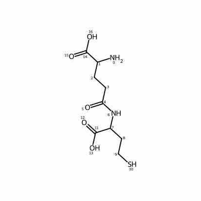 NC(CCC(=O)NC(CCS)C(=O)O)C(=O)O